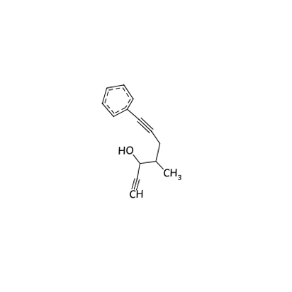 C#CC(O)C(C)CC#Cc1ccccc1